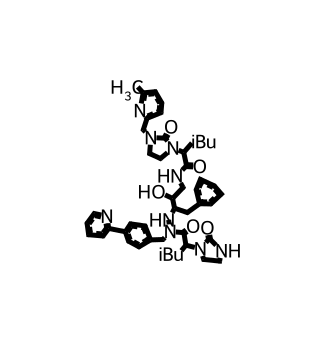 CCC(C)C(C(=O)N(Cc1ccc(-c2ccccn2)cc1)NC(Cc1ccccc1)C(O)CNC(=O)C(C(C)CC)N1CCN(Cc2cccc(C)n2)C1=O)N1CCNC1=O